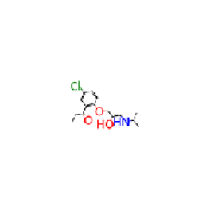 CCC(=O)c1cc(Cl)ccc1OCC(O)CNC(C)C